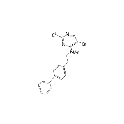 Clc1ncc(Br)c(NCCc2ccc(-c3ccccc3)cc2)n1